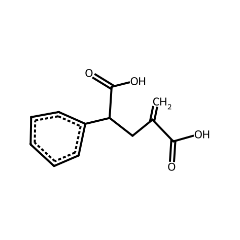 C=C(CC(C(=O)O)c1ccccc1)C(=O)O